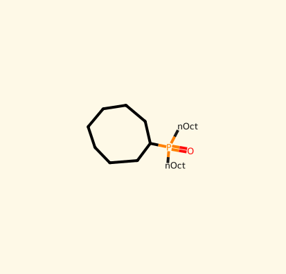 CCCCCCCCP(=O)(CCCCCCCC)C1CCCCCCC1